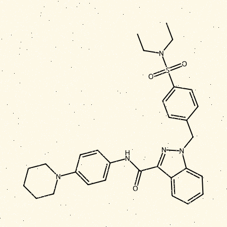 CCN(CC)S(=O)(=O)c1ccc(Cn2nc(C(=O)Nc3ccc(N4CCCCC4)cc3)c3ccccc32)cc1